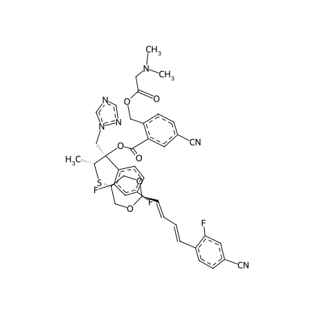 C[C@@H](S[C@H]1CO[C@H](C=CC=Cc2ccc(C#N)cc2F)OC1)[C@@](Cn1cncn1)(OC(=O)c1cc(C#N)ccc1COC(=O)CN(C)C)c1ccc(F)cc1F